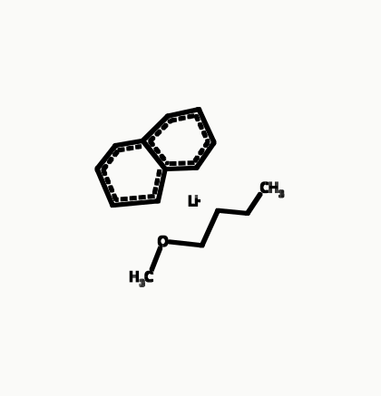 CCCCOC.[Li].c1ccc2ccccc2c1